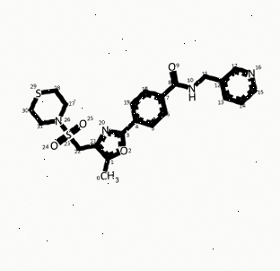 Cc1oc(-c2ccc(C(=O)NCc3cccnc3)cc2)nc1CS(=O)(=O)N1CCSCC1